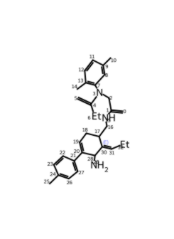 C=C(CN(C(=C)CC)c1cc(C)ccc1C)NCC1CC=C(c2ccc(C)cc2)C(N)/C1=C/CC